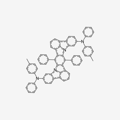 Cc1ccc(N(c2ccccc2)c2ccc3c4cccc5c6c(-c7ccccc7)c7c(c(-c8ccccc8)c6n(c3c2)c45)c2cccc3c4ccc(N(c5ccccc5)c5ccc(C)cc5)cc4n7c32)cc1